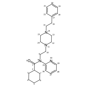 O=C(C1CCCCC1)N(CCN1CCN(CCc2ccccc2)CC1)c1ccccn1